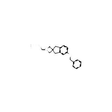 O=C(O)CN1CC2(Cc3ccc(OCc4ccccc4)cc3C2)C1